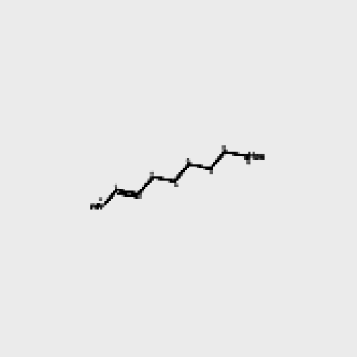 [CH2]CC/C=C/CCCCCCCCCCC